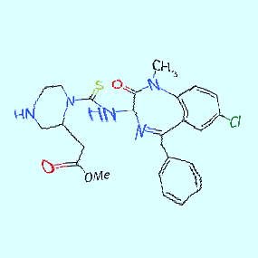 COC(=O)CC1CNCCN1C(=S)NC1N=C(c2ccccc2)c2cc(Cl)ccc2N(C)C1=O